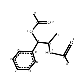 CC(=O)NC(C)C(OC(C)=O)c1ccccc1